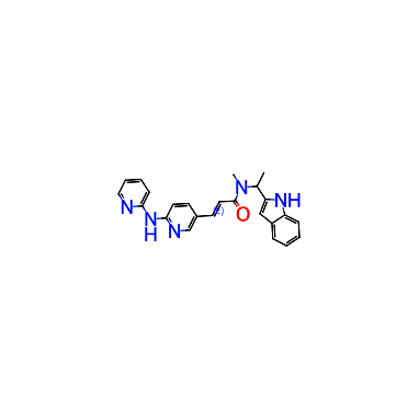 CC(c1cc2ccccc2[nH]1)N(C)C(=O)/C=C/c1ccc(Nc2ccccn2)nc1